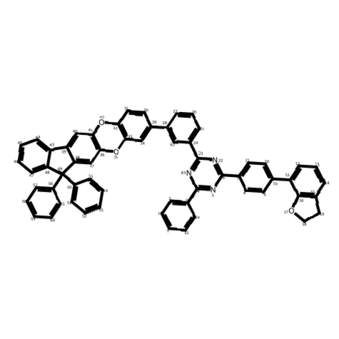 c1ccc(-c2nc(-c3ccc(-c4cccc5c4OCC5)cc3)nc(-c3cccc(-c4ccc5c(c4)Oc4cc6c(cc4O5)-c4ccccc4C6(c4ccccc4)c4ccccc4)c3)n2)cc1